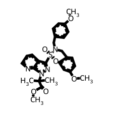 COC(=O)C(C)(C)n1nc(S(=O)(=O)N(Cc2ccc(OC)cc2)Cc2ccc(OC)cc2)c2cccnc21